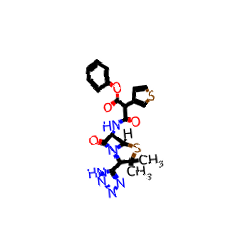 CC1(C)S[C@H]2C(NC(=O)C(C(=O)Oc3ccccc3)c3ccsc3)C(=O)N2C1c1nnn[nH]1